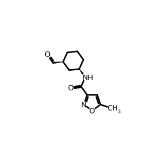 Cc1cc(C(=O)N[C@@H]2CCC[C@H](C=O)C2)no1